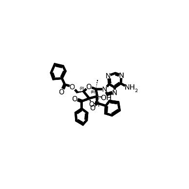 C[C@@]1(n2cnc3c(N)ncnc32)O[C@H](COC(=O)c2ccccc2)[C@](O)(C(=O)c2ccccc2)[C@]1(O)C(=O)c1ccccc1